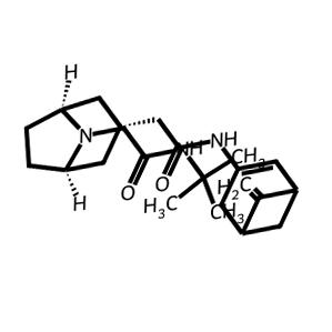 C=C1C2C=C(NC(=O)C[C@@H]3C[C@H]4CC[C@@H](C3)N4CC(=O)NC(C)(C)C)CC1C2